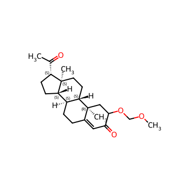 COCOC1C[C@@]2(C)C(=CC1=O)CC[C@H]1[C@@H]3CC[C@H](C(C)=O)[C@@]3(C)CC[C@@H]12